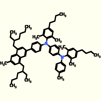 CCCCc1cc(C)c(N(c2ccc(C)cc2)c2ccc(N(c3ccc(-c4cc(CC(CC)CCCC)c5cc(C)cc(CC(CC)CCCC)c5c4)cc3)c3c(C)cc(CCCC)cc3C)cc2)c(C)c1